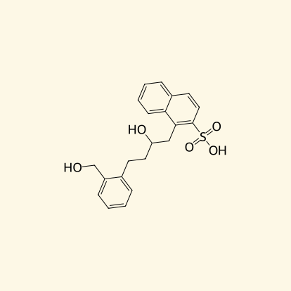 O=S(=O)(O)c1ccc2ccccc2c1CC(O)CCc1ccccc1CO